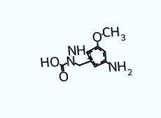 COc1cc(N)cc(CN(N)C(=O)O)c1